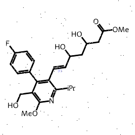 COC(=O)CC(O)CC(O)/C=C/c1c(C(C)C)nc(OC)c(CO)c1-c1ccc(F)cc1